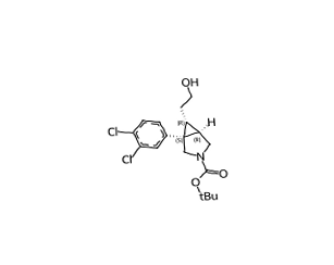 CC(C)(C)OC(=O)N1C[C@@H]2[C@@H](CCO)[C@]2(c2ccc(Cl)c(Cl)c2)C1